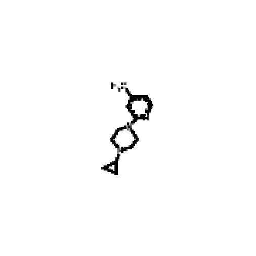 Cc1ccnc(N2CCN(C3CC3)CC2)c1